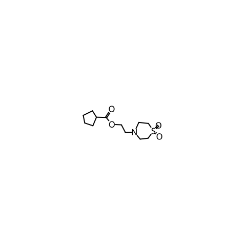 O=C(OCCN1CCS(=O)(=O)CC1)C1CCCC1